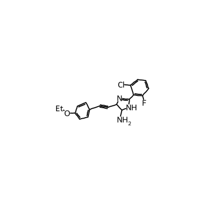 CCOc1ccc(C#CC2N=C(c3c(F)cccc3Cl)NC2N)cc1